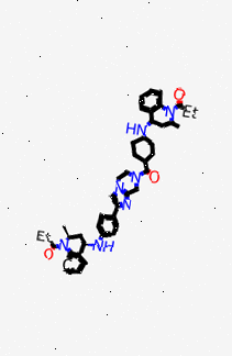 CCC(=O)N1c2ccccc2C(NC2CCC(C(=O)N3CCn4cc(-c5ccc(N[C@@H]6C[C@H](C)N(C(=O)CC)c7ccccc76)cc5)nc4C3)CC2)CC1C